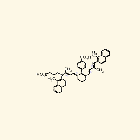 C/C(=C\C=C1/CCCC(/C=C/C(C)=N/c2ccc3ccccc3c2C)=C1c1ccc(C(=O)O)cc1)N(CCCS(=O)(=O)O)c1ccc2ccccc2c1C